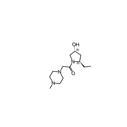 CC[C@@H]1C[C@@H](O)CN1C(=O)CN1CCN(C)CC1